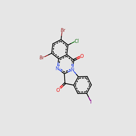 O=C1c2cc(I)ccc2-n2c1nc1c(Br)cc(Br)c(Cl)c1c2=O